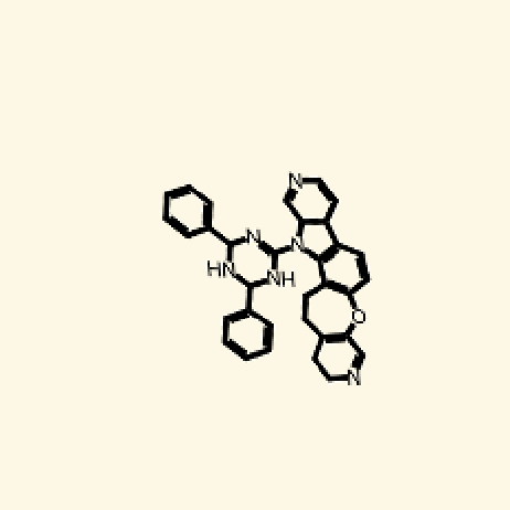 C1=CC2c3ccc4c(c3N(C3=NC(c5ccccc5)NC(c5ccccc5)N3)C2C=N1)CCC1=C(C=NCC1)O4